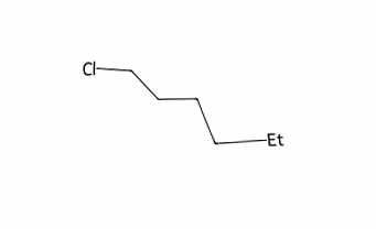 [CH2]CCCCCCl